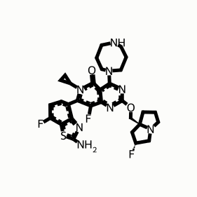 Nc1nc2c(-c3c(F)c4nc(OC[C@@]56CCCN5C[C@H](F)C6)nc(N5CCCNCCC5)c4c(=O)n3C3CC3)ccc(F)c2s1